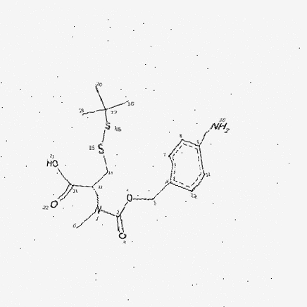 CN(C(=O)OCc1ccc(N)cc1)C(CSSC(C)(C)C)C(=O)O